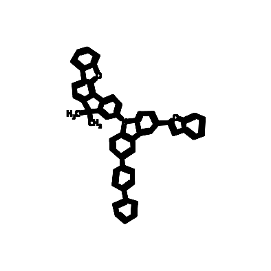 CC1(C)c2cc(-n3c4ccc(-c5ccc(-c6ccccc6)cc5)cc4c4cc(-c5cc6ccccc6o5)ccc43)ccc2-c2c1ccc1c2oc2ccccc21